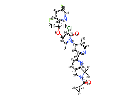 [2H]C([2H])(Oc1cc(C)n(-c2cc(-c3ccc4c(n3)C(C)(C)N(C(=O)C3CC3)C4)ncc2C)c(=O)c1Cl)c1ncc(F)cc1F